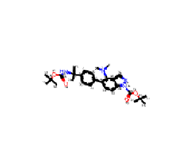 CN(C)c1c(-c2ccc(C(C)(C)NC(=O)OC(C)(C)C)cc2)ccc2c1cnn2C(=O)OC(C)(C)C